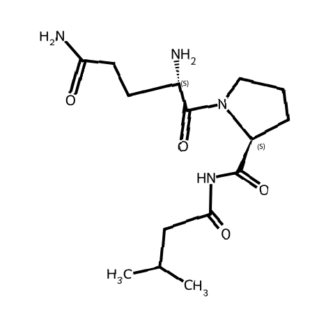 CC(C)CC(=O)NC(=O)[C@@H]1CCCN1C(=O)[C@@H](N)CCC(N)=O